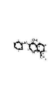 Oc1c(Sc2ccccc2)cnc2c(C(F)(F)F)cccc12